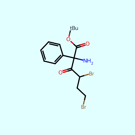 CC(C)(C)OC(=O)C(N)(C(=O)C(Br)CCBr)c1ccccc1